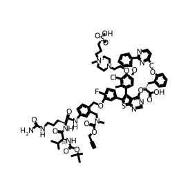 C#CCOC(=O)N(C)Cc1cc(NC(=O)[C@H](CCCNC(N)=O)NC(=O)[C@@H](NC(=O)OC(C)(C)C)C(C)C)ccc1COc1cc(-c2sc3ncnc(O[C@H](Cc4ccccc4OCc4ccnc(-c5ccccc5OC)n4)C(=O)O)c3c2-c2ccc(OCCN3CC[N+](C)(CCCS(=O)(=O)O)CC3)c(Cl)c2C)ccc1F